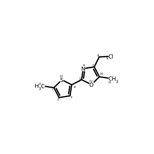 Cc1ccc(-c2nc(CCl)c(C)o2)s1